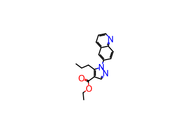 CCCc1c(C(=O)OCC)cnn1-c1ccc2ncccc2c1